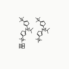 C[C](C)=[Hf]([C]1=CC([Si](C)(C)C)=CC1)[C]1=CC([Si](C)(C)C)=CC1.C[C](C)=[Hf]([C]1=CC([Si](C)(C)C)=CC1)[C]1=CC([Si](C)(C)C)=CC1.Cl.Cl